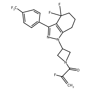 C=C(F)C(=O)N1CC(n2nc(-c3ccc(C(F)(F)F)cc3)c3c2CCCC3(F)F)C1